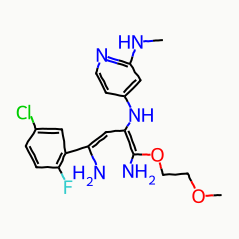 CNc1cc(NC(/C=C(\N)c2cc(Cl)ccc2F)=C(/N)OCCOC)ccn1